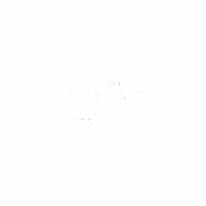 O=C(O)C(F)(F)F.O=C1CNCCCN1